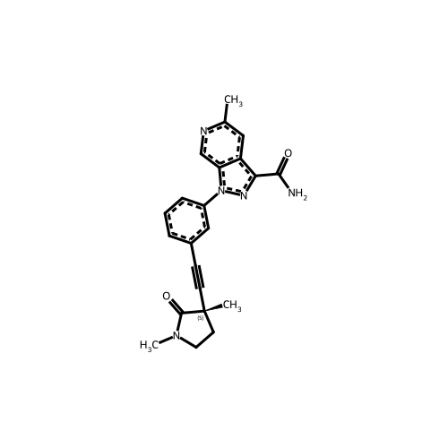 Cc1cc2c(C(N)=O)nn(-c3cccc(C#C[C@]4(C)CCN(C)C4=O)c3)c2cn1